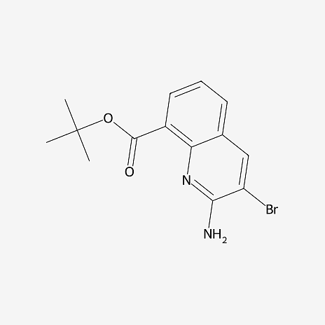 CC(C)(C)OC(=O)c1cccc2cc(Br)c(N)nc12